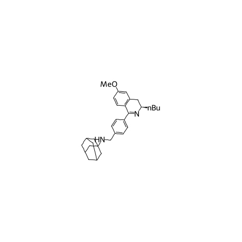 CCCC[C@@H]1Cc2cc(OC)ccc2C(c2ccc(CNC34CC5CC(CC(C5)C3)C4)cc2)=N1